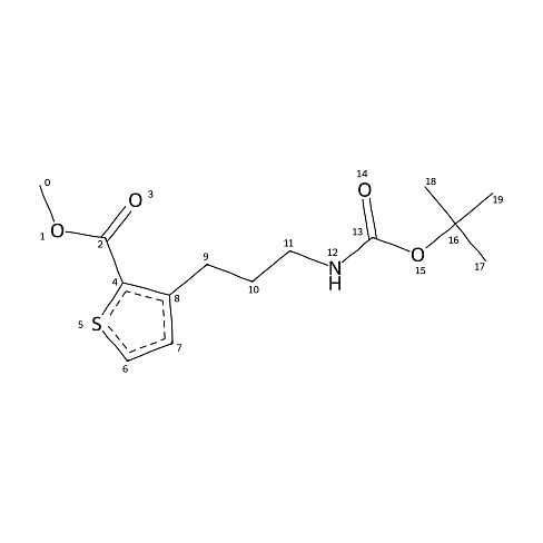 COC(=O)c1sccc1CCCNC(=O)OC(C)(C)C